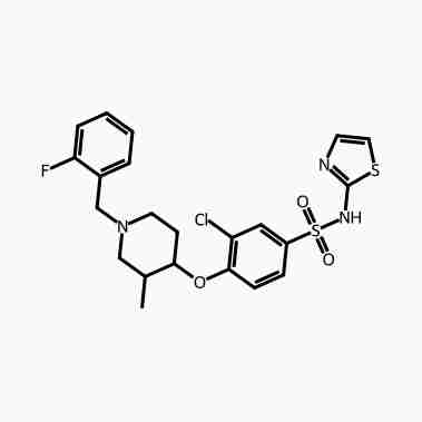 CC1CN(Cc2ccccc2F)CCC1Oc1ccc(S(=O)(=O)Nc2nccs2)cc1Cl